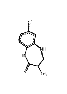 CC1CNc2cc(Cl)ccc2NC1=S